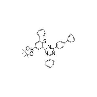 CC1(C)OB(c2cc(-c3nc(-c4ccccc4)nc(-c4ccc(-c5ccccc5)cc4)n3)c3sc4ccccc4c3c2)OC1(C)C